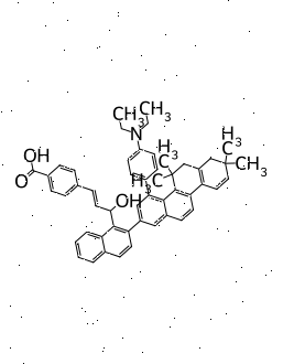 CCN(CC)c1ccc(-c2cc(-c3ccc4ccccc4c3C(O)/C=C/c3ccc(C(=O)O)cc3)cc3ccc4c(c23)C(C)(C)CC2=C4C=CC(C)(C)C2)cc1